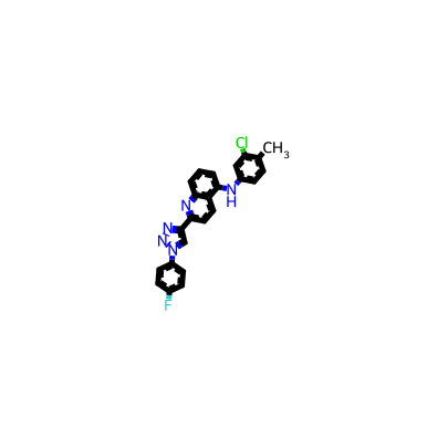 Cc1ccc(Nc2cccc3nc(-c4cn(-c5ccc(F)cc5)nn4)ccc23)cc1Cl